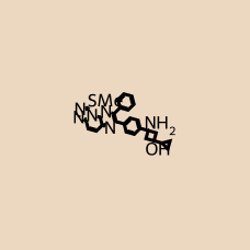 CSc1nnc2ccc3nc(-c4ccc([C@]5(N)C[C@@](O)(C6CC6)C5)cc4)c(-c4ccccc4)nc3n12